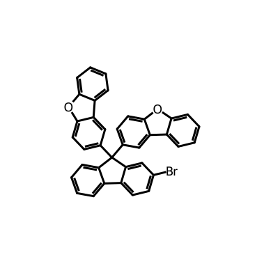 Brc1ccc2c(c1)C(c1ccc3oc4ccccc4c3c1)(c1ccc3oc4ccccc4c3c1)c1ccccc1-2